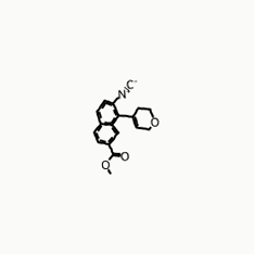 [C-]#[N+]c1ccc2ccc(C(=O)OC)cc2c1C1=CCOCC1